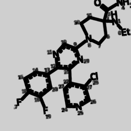 CCNC1(C(N)=O)CCN(c2cnc(-c3ccc(F)c(F)c3)c(-c3ccncc3Cl)n2)CC1